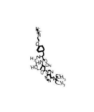 CN(C)c1ncnc2c1ncn2[C@@H]1O[C@H](CO)C(NC(=O)[C@@H](N)Cc2ccc(OCCN=[N+]=[N-])cc2)[C@@H]1O